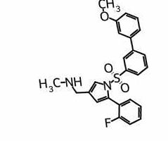 CNCc1cc(-c2ccccc2F)n(S(=O)(=O)c2cccc(-c3cccc(OC)c3)c2)c1